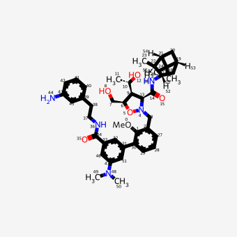 COc1c(CN2O[C@@H](CO)[C@@H]([C@H](C)O)[C@H]2C(=O)N[C@H]2C[C@H]3C[C@@H]([C@@H]2C)C3(C)C)cccc1-c1cc(C(=O)NCCc2cccc(N)c2)cc(N(C)C)c1